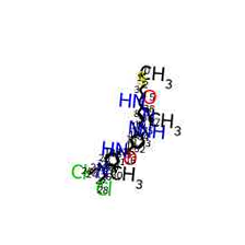 CSCCC(=O)Nc1cc(-c2nc3cc(C(=O)Nc4ccc(N(CCCl)CCCl)c(C)c4)ccc3[nH]2)n(C)c1